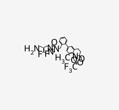 Cc1cc(-c2ccccc2Cn2cnn(CC(CN)=C(F)F)c2=O)cc2c1N(OC(=O)C(F)(F)F)C(=O)CC2